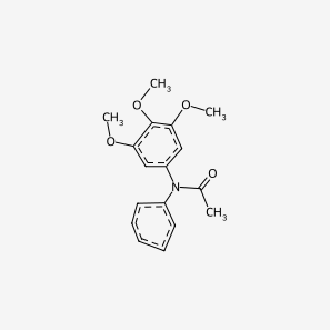 COc1cc(N(C(C)=O)c2ccccc2)cc(OC)c1OC